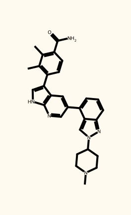 Cc1c(C(N)=O)ccc(-c2c[nH]c3ncc(-c4cccc5nn(C6CCN(C)CC6)cc45)cc23)c1C